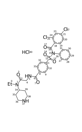 CCN(C(=O)CNC(=O)c1ccc(S(=O)(=O)N(C(=O)c2ccc(Cl)cc2Cl)c2ccccc2)cc1)C1CCNCC1.Cl